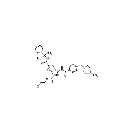 CN1CCN(Cc2ccc(C(=O)Nc3nn(C(=O)OCCCl)c4sc(C(=O)NC(C)(C)c5ccccc5)cc34)cc2)CC1